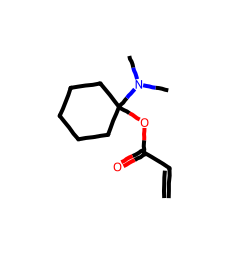 C=CC(=O)OC1(N(C)C)CCCCC1